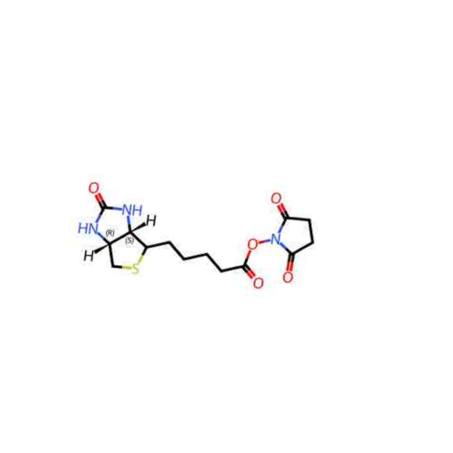 O=C1N[C@H]2CSC(CCCCC(=O)ON3C(=O)CCC3=O)[C@H]2N1